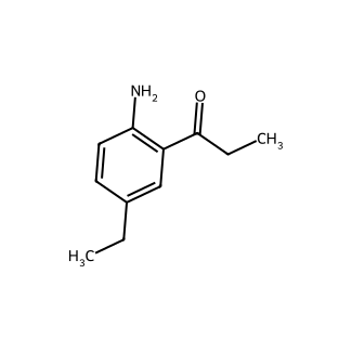 CCC(=O)c1cc(CC)ccc1N